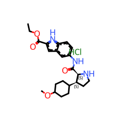 CCOC(=O)c1cc2cc(NC(=O)[C@H]3NCC[C@H]3C3CCC(OC)CC3)ccc2[nH]1.Cl